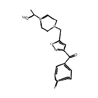 CC(O)N1CCN(Cc2cc(C(=O)c3ccc(F)cc3)no2)CC1